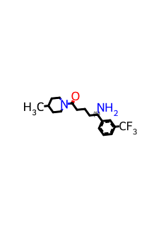 CC1CCN(C(=O)CCC[C@H](N)c2cccc(C(F)(F)F)c2)CC1